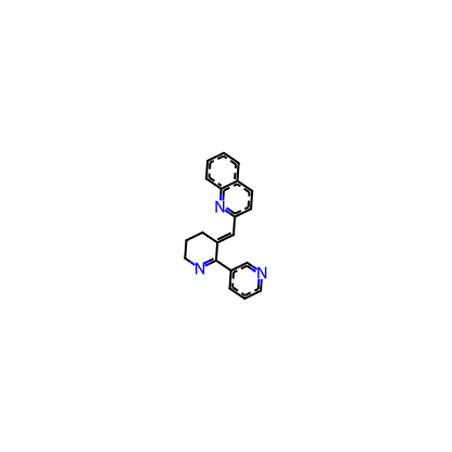 C(=C1CCCN=C1c1cccnc1)c1ccc2ccccc2n1